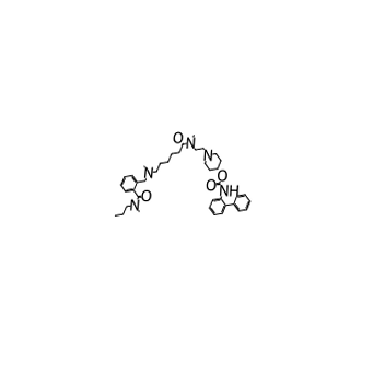 CCCN(C)C(=O)c1ccccc1CN(C)CCCCCC(=O)N(C)CCN1CCC(OC(=O)Nc2ccccc2-c2ccccc2)CC1